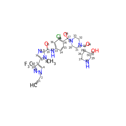 C#CCn1cc(-c2cnc(C(=O)Nc3ccc(C(=O)N4CCN(C(=O)[C@H]5CCNC[C@H]5O)CC4)c(Cl)c3)n2C)c(C(F)(F)F)n1